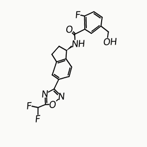 O=C(N[C@@H]1CCc2cc(-c3noc(C(F)F)n3)ccc21)c1cc(CO)ccc1F